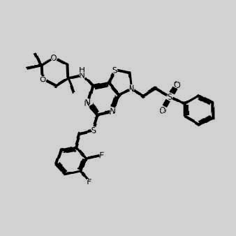 CC1(Nc2nc(SCc3cccc(F)c3F)nc3c2SCN3CCS(=O)(=O)c2ccccc2)COC(C)(C)OC1